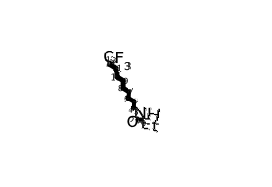 CCC(=O)NCCCCCCCCCC(F)(F)F